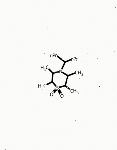 CCCC(CCC)N1C(C)C(C)S(=O)(=O)C(C)C1C